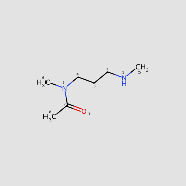 CNCCCN(C)C(C)=O